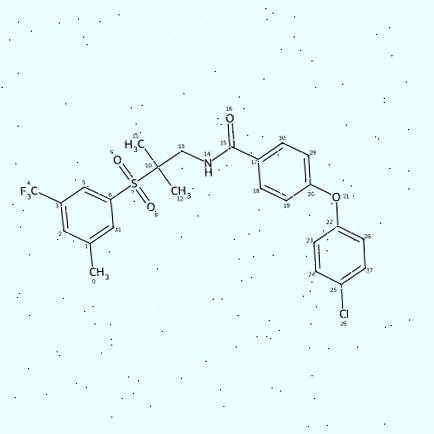 Cc1cc(C(F)(F)F)cc(S(=O)(=O)C(C)(C)CNC(=O)c2ccc(Oc3ccc(Cl)cc3)cc2)c1